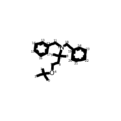 CC(C)(C)OCCC(C)(C)N(Cc1ccccc1)Cc1ccccc1